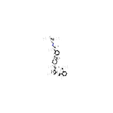 COc1cccc(F)c1C(=O)Nc1c[nH]nc1C(=O)NC1CCN(S(=O)(=O)c2cccc(NC(=O)/C=C/CN(C)C)c2)CC1